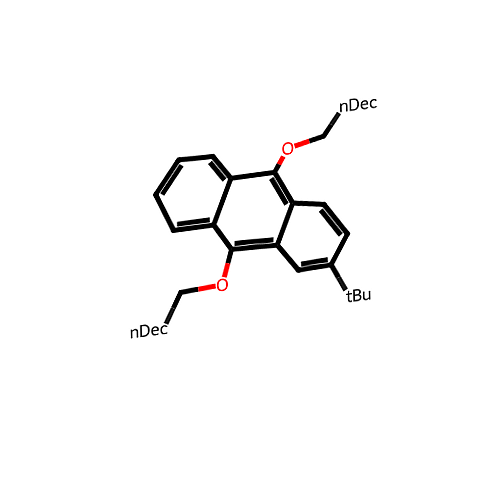 CCCCCCCCCCCOc1c2ccccc2c(OCCCCCCCCCCC)c2cc(C(C)(C)C)ccc12